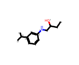 CCC(O)CNc1cccc(C(C)C)c1